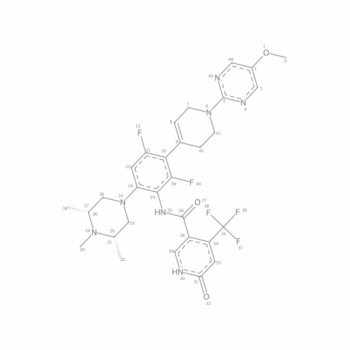 COc1cnc(N2CC=C(c3c(F)cc(N4C[C@@H](C)N(C)[C@@H](C)C4)c(NC(=O)c4c[nH]c(=O)cc4C(F)(F)F)c3F)CC2)nc1